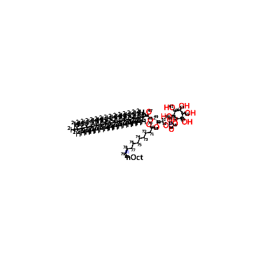 [2H]C([2H])([2H])C([2H])([2H])C([2H])([2H])C([2H])([2H])C([2H])([2H])C([2H])([2H])C([2H])([2H])C([2H])([2H])C([2H])([2H])C([2H])([2H])C([2H])([2H])C([2H])([2H])C([2H])([2H])C([2H])([2H])C([2H])([2H])C(=O)OC[C@H](COP(=O)(O)OC1C(O)C(O)C(O)C(O)C1O)OC(=O)CCCCCCC/C=C\CCCCCCCC